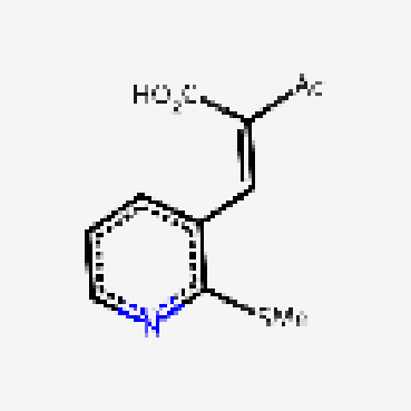 CSc1ncccc1C=C(C(C)=O)C(=O)O